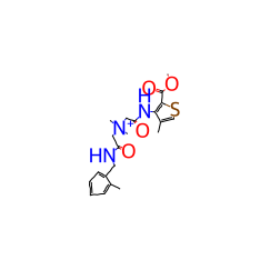 COC(=O)c1scc(C)c1NC(=O)C[N+](C)(C)CC(=O)NCc1ccccc1C